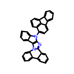 c1ccc2c(c1)-c1cccc3c(-n4c5ccccc5c5c4nc4c6ccccc6c6ccccc6n45)ccc-2c13